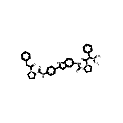 CN(C)C(C(=O)N1CCC[C@H]1C(=O)Nc1ccc2[nH]c(-c3ccc(NC(=O)[C@@H]4CCCN4C(=O)Cc4ccccc4)cc3)cc2c1)c1ccccc1